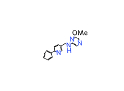 COc1cncc(NCc2ccc(-c3ccccc3)nc2)n1